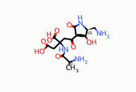 C[C@H](N)C(=O)NC(CC(=O)O)(CC(=O)C1=C(O)[C@H](CN)NC1=O)C(=O)O